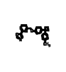 Cc1ccc(C2(c3ccc(OCc4ccnc(-c5cnco5)n4)cc3)CCC2)cc1